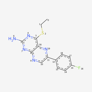 CCSc1nc(N)nc2ncc(-c3ccc(F)cc3)nc12